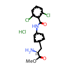 COC(=O)[C@@H](N)Cc1ccc(NC(=O)c2c(Cl)cccc2Cl)cc1.Cl